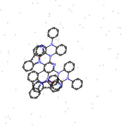 c1ccc(N2c3ccccc3N(c3nc(N4c5ccccc5N(c5ccccc5)c5ccccc54)c(-n4c5ccccc5c5ccncc54)c(-c4cccc5c6ccccc6n(-c6ccccc6)c45)c3-n3c4ccccc4c4ccncc43)c3ccccc32)cc1